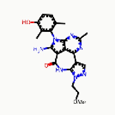 COCCn1ncc2c1NC(=O)c1c(N)n(-c3c(C)ccc(O)c3C)c3nc(C)nc-2c13